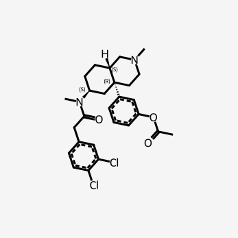 CC(=O)Oc1cccc([C@@]23CCN(C)C[C@H]2CC[C@H](N(C)C(=O)Cc2ccc(Cl)c(Cl)c2)C3)c1